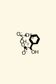 C[S+](C)[O-].O=[N+]([O-])C(O)c1ccccc1